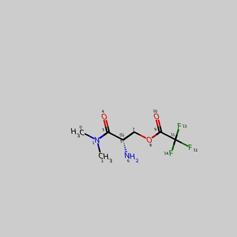 CN(C)C(=O)[C@@H](N)COC(=O)C(F)(F)F